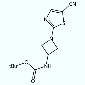 CC(C)(C)OC(=O)NC1CN(c2ncc(C#N)s2)C1